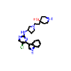 OC1(CCN2CCC(Nc3ncc(Cl)c(-c4c[nH]c5ccccc45)n3)C2)CCNCC1